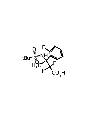 CC(C)(C)S(=O)(=O)N[C@](C)(c1ccccc1F)C(F)(F)C(=O)O